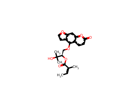 C/C=C(/C)C(=O)O[C@H](COc1c2ccoc2cc2oc(=O)ccc12)C(C)(C)O